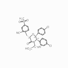 CCC[C@H](C(=O)O)N1C(=O)[C@H](Cc2ccc(S(C)(=O)=O)cc2C#N)O[C@@H](c2ccc(Cl)cc2)[C@H]1c1ccc(Cl)cc1